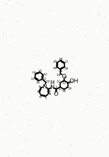 O=C(NC1=CC=CC=CN1Cc1ccccc1)C1CCC(O)C(OCc2ccccc2)C1